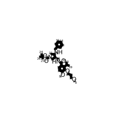 COCCCOc1c(OC)ccc(C(=O)NC[C@H]2CN(C(=O)OC(C)(C)C)C[C@@H]2NCc2ccccc2)c1C(C)C